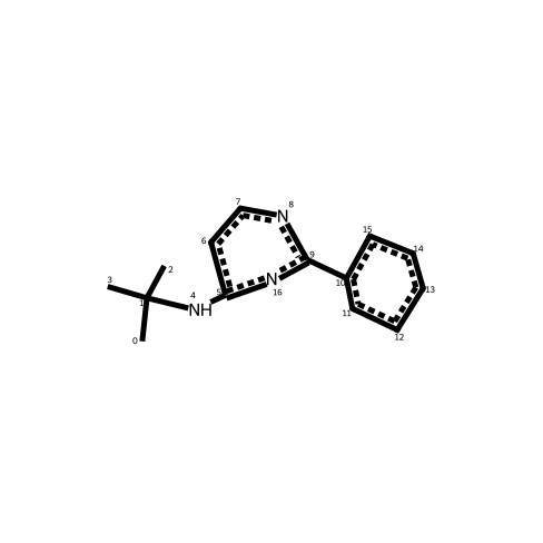 CC(C)(C)Nc1ccnc(-c2ccccc2)n1